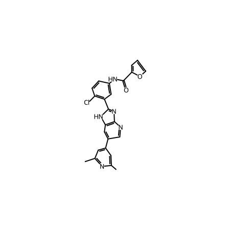 Cc1cc(-c2cnc3nc(-c4cc(NC(=O)c5ccco5)ccc4Cl)[nH]c3c2)cc(C)n1